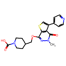 Cn1nc(OCC2CCN(C(=O)O)CC2)c2scc(-c3ccncc3)c2c1=O